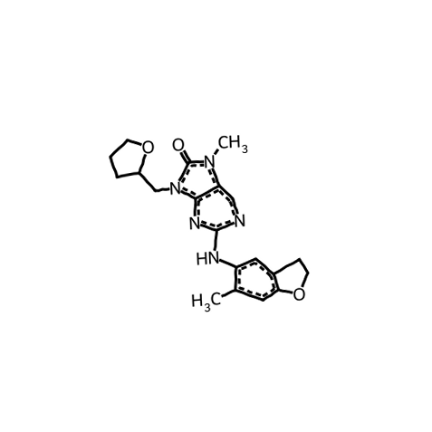 Cc1cc2c(cc1Nc1ncc3c(n1)n(CC1CCCO1)c(=O)n3C)CCO2